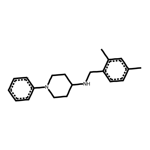 Cc1ccc(CNC2CCN(c3[c]cccc3)CC2)c(C)c1